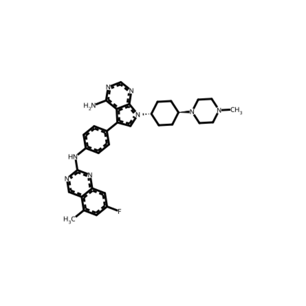 Cc1cc(F)cc2nc(Nc3ccc(-c4cn([C@H]5CC[C@H](N6CCN(C)CC6)CC5)c5ncnc(N)c45)cc3)ncc12